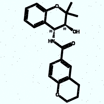 CC1(C)Oc2ccccc2[C@@H](NC(=O)c2ccc3c(c2)CCCO3)[C@@H]1O